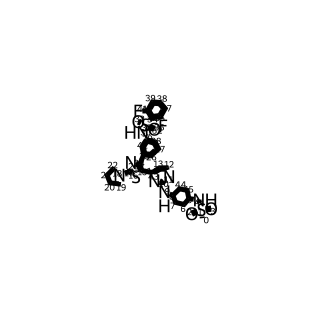 CS(=O)(=O)NC1CCC(Nc2nccc(-c3sc(N4CCCC4)nc3-c3cccc(NS(=O)(=O)c4c(F)cccc4F)c3)n2)CC1